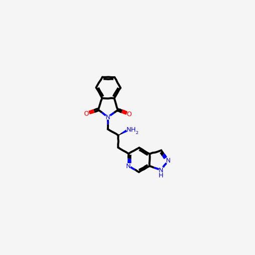 N[C@@H](Cc1cc2cn[nH]c2cn1)CN1C(=O)c2ccccc2C1=O